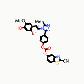 COc1cc(/C=C/n2c(SC)nnc2-c2ccc(OC(=O)Oc3ccc4sc(C#N)nc4c3)cc2)c(Br)cc1O